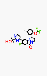 Cc1ccc(OC(F)F)c([C@@H]2CCn3c(=O)c4cc(F)c(-c5ccnc(C(C)(C)O)n5)cc4n32)c1